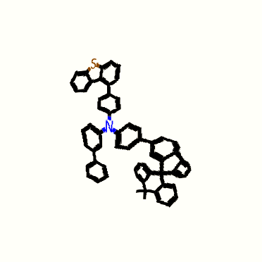 CC1(C)c2ccccc2C2(c3ccccc3-c3ccc(-c4ccc(N(c5ccc(-c6cccc7sc8ccccc8c67)cc5)c5cccc(-c6ccccc6)c5)cc4)cc32)c2ccccc21